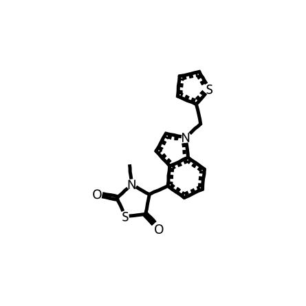 CN1C(=O)SC(=O)C1c1cccc2c1ccn2Cc1cccs1